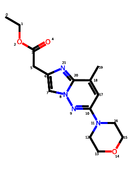 CCOC(=O)Cc1cn2nc(N3CCOCC3)cc(C)c2n1